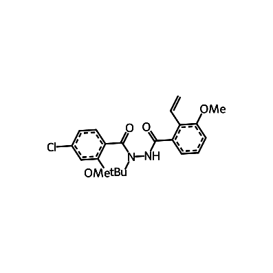 C=Cc1c(OC)cccc1C(=O)NN(C(=O)c1ccc(Cl)cc1OC)C(C)(C)C